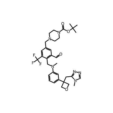 CN(Cc1c(C=O)cc(CN2CCN(C(=O)OC(C)(C)C)CC2)cc1C(F)(F)F)c1cccc(C2(Cc3nncn3C)COC2)c1